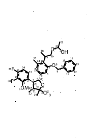 COc1c([C@H]2[C@H](c3cc(OCc4ccccc4)c(C(C)COC(C)O)c(C)n3)O[C@@](C)(C(F)(F)F)[C@H]2C)ccc(F)c1F